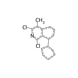 Cc1c(Cl)nc(Cl)c2c(-c3ccccc3)cccc12